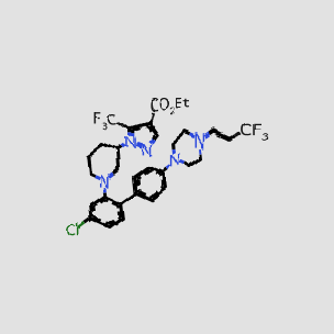 CCOC(=O)c1cnn(C2CCCN(c3cc(Cl)ccc3-c3ccc(N4CCN(CCC(F)(F)F)CC4)cc3)C2)c1C(F)(F)F